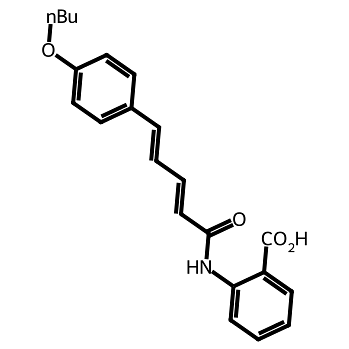 CCCCOc1ccc(C=CC=CC(=O)Nc2ccccc2C(=O)O)cc1